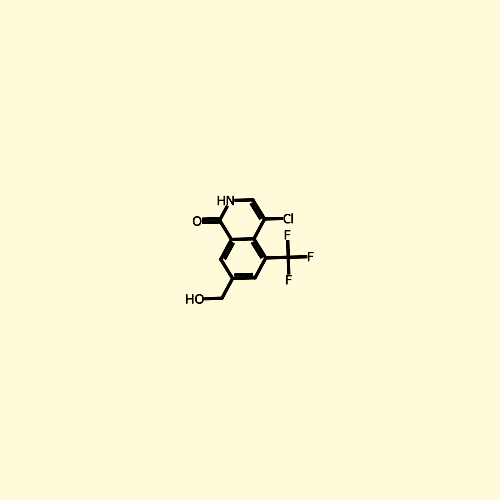 O=c1[nH]cc(Cl)c2c(C(F)(F)F)cc(CO)cc12